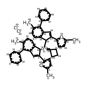 Cc1ccc(C2=Cc3c(ccc(C)c3-c3ccccc3)[CH]2[Zr+2](=[C]2CCC2)[CH]2C(c3ccc(C)o3)=Cc3c2ccc(C)c3-c2ccccc2)o1.[Cl-].[Cl-]